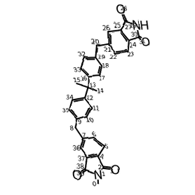 CN1C(=O)c2ccc(Cc3ccc(C(C)(C)c4ccc(Cc5ccc6c(c5)C(=O)NC6=O)cc4)cc3)cc2C1=O